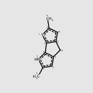 Cc1cc2c([nH]1)-c1sc(C)cc1C2